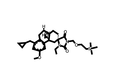 CCN1C(=O)N(COCC[Si](C)(C)C)C(=O)[C@@]12CC[C@@]1(O)[C@H]3Cc4c(CC5CC5)cc(OC)cc4[C@@]1(CCN3)C2